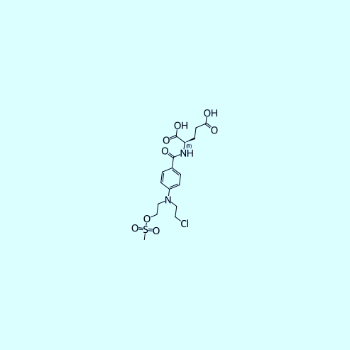 CS(=O)(=O)OCCN(CCCl)c1ccc(C(=O)N[C@H](CCC(=O)O)C(=O)O)cc1